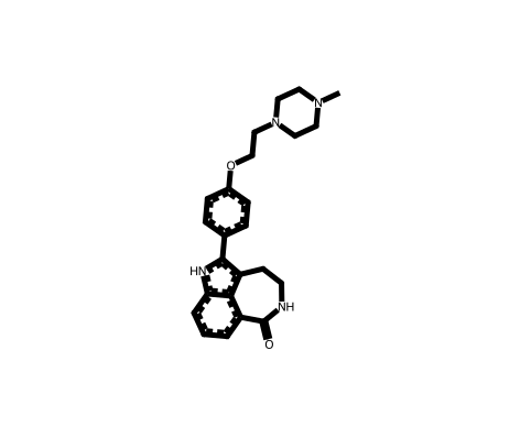 CN1CCN(CCOc2ccc(-c3[nH]c4cccc5c4c3CCNC5=O)cc2)CC1